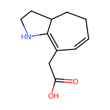 O=C(O)CC1=C2NCCC2CCC=C1